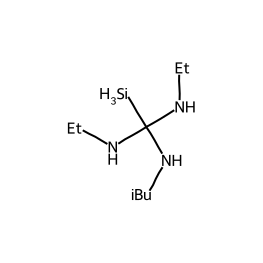 CCNC([SiH3])(NCC)NC(C)CC